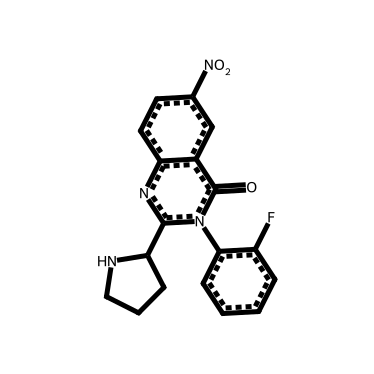 O=c1c2cc([N+](=O)[O-])ccc2nc(C2CCCN2)n1-c1ccccc1F